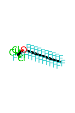 FC(F)(F)C(F)(F)C(F)(F)C(F)(F)C(F)(F)C(F)(F)C(F)(F)C(F)(F)C(F)(F)C(F)(F)OC(F)(Cl)C(F)(Cl)Cl